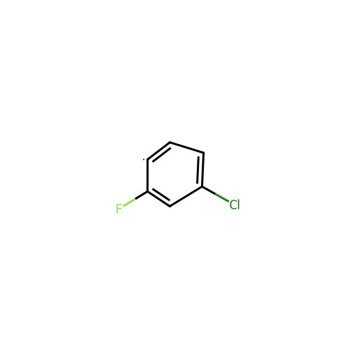 Fc1[c]ccc(Cl)c1